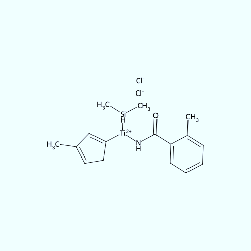 CC1=CC[C]([Ti+2]([NH]C(=O)c2ccccc2C)[SiH](C)C)=C1.[Cl-].[Cl-]